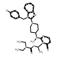 CCN(CC)C(=O)OC(C)n1c(N(C)C2CCN(c3nc4ccccc4n3Cc3ccc(F)cc3)CC2)nccc1=O